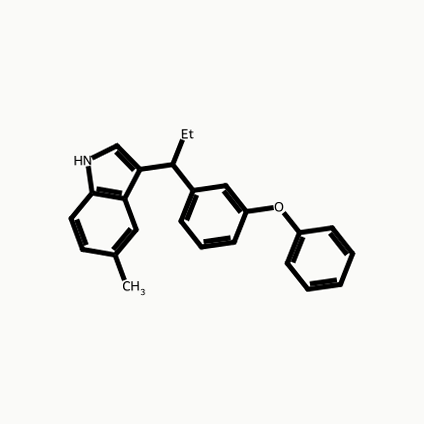 [CH2]CC(c1cccc(Oc2ccccc2)c1)c1c[nH]c2ccc(C)cc12